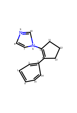 c1ccc(C2=C(n3ccnc3)CCC2)cc1